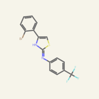 FC(F)(F)c1ccc(N=c2[nH]c(-c3ccccc3Br)cs2)cc1